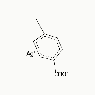 Cc1ccc(C(=O)[O-])cc1.[Ag+]